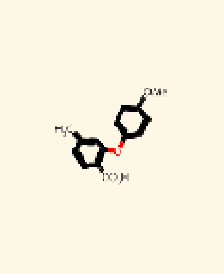 COc1ccc(Oc2cc(C)ccc2C(=O)O)cc1